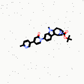 Cc1ccc(-c2ccn(-c3ccc4c5c(n(C)c4c3)CC3CCC5N3C(=O)OC(C)(C)C)c(=O)c2)cn1